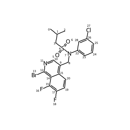 CC(C)CS(=O)(=O)N(Cc1cnc(Br)c2c(F)c(F)ccc12)c1cccc(Cl)c1